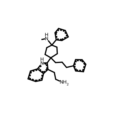 CNC1(c2ccccc2)CCC(CCCc2ccccc2)(c2[nH]c3ccccc3c2CCN)CC1